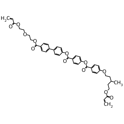 C=CC(=O)OCCOCCOC(=O)c1ccc(-c2ccc(OC(=O)c3ccc(OC(=O)c4ccc(OCCC(C)CCOC(=O)C=C)cc4)cc3)cc2)cc1